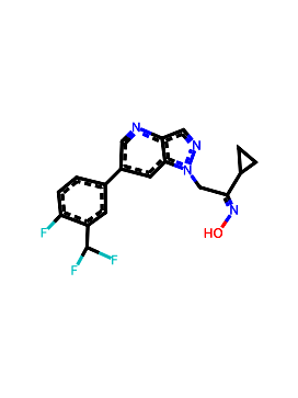 O/N=C(\Cn1ncc2ncc(-c3ccc(F)c(C(F)F)c3)cc21)C1CC1